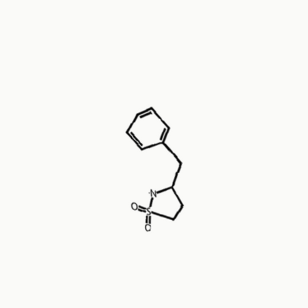 O=S1(=O)CCC(Cc2ccccc2)[N]1